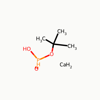 CC(C)(C)O[PH](=O)O.[CaH2]